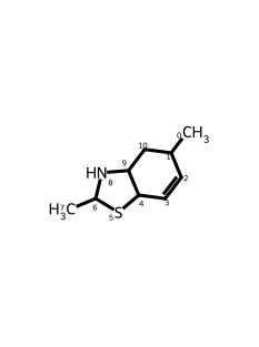 CC1C=CC2SC(C)NC2C1